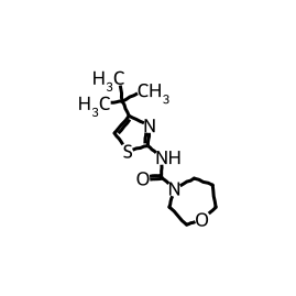 CC(C)(C)c1csc(NC(=O)N2CCCOCC2)n1